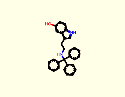 Oc1ccc2[nH]cc(CCNC(c3ccccc3)(c3ccccc3)c3ccccc3)c2c1